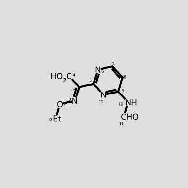 CCON=C(C(=O)O)c1nccc(NC=O)n1